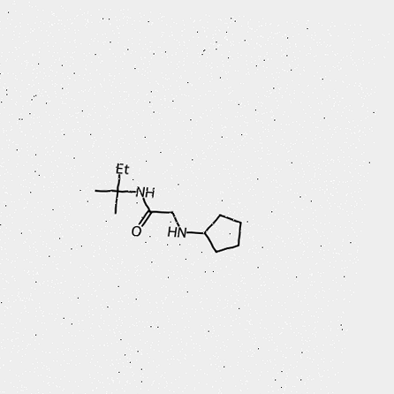 CCC(C)(C)NC(=O)CNC1CCCC1